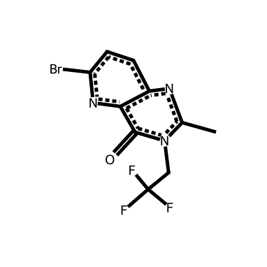 Cc1nc2ccc(Br)nc2c(=O)n1CC(F)(F)F